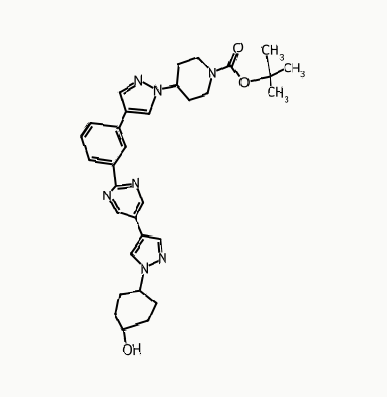 CC(C)(C)OC(=O)N1CCC(n2cc(-c3cccc(-c4ncc(-c5cnn(C6CCC(O)CC6)c5)cn4)c3)cn2)CC1